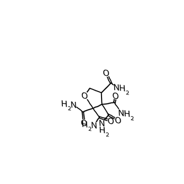 NC(=O)C1COC(C(N)=O)(C(N)=O)C1(C(N)=O)C(N)=O